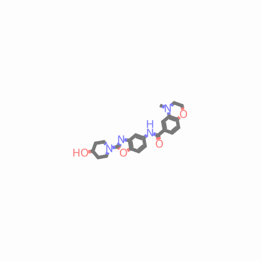 CN1CCOc2ccc(C(=O)Nc3ccc4oc(N5CCC(O)CC5)nc4c3)cc21